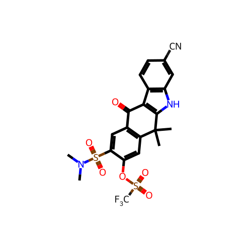 CN(C)S(=O)(=O)c1cc2c(cc1OS(=O)(=O)C(F)(F)F)C(C)(C)c1[nH]c3cc(C#N)ccc3c1C2=O